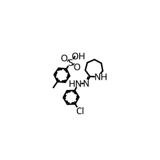 Cc1ccc(S(=O)(=O)O)cc1.Clc1cccc(NN=C2CCCCCN2)c1